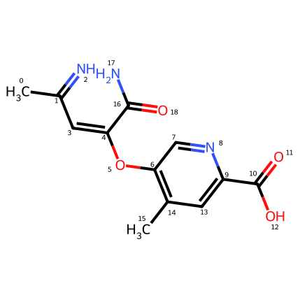 CC(=N)/C=C(/Oc1cnc(C(=O)O)cc1C)C(N)=O